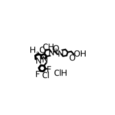 CC1(C)CN(C(=O)CN2CCC(CC(=O)O)CC2)Cc2c1c1cccnc1n2Cc1ccc(F)c(Cl)c1F.Cl